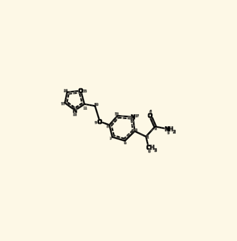 CC(C(N)=O)c1ccc(OCc2ncco2)cn1